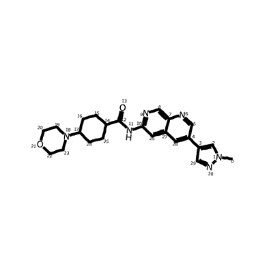 Cn1cc(-c2cnc3cnc(NC(=O)C4CCC(N5CCOCC5)CC4)cc3c2)cn1